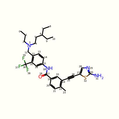 CCCN(CCC(CC)CC)Cc1ccc(NC(=O)c2ccc(C)c(C#Cc3cnc(N)s3)c2)cc1C(F)(F)F